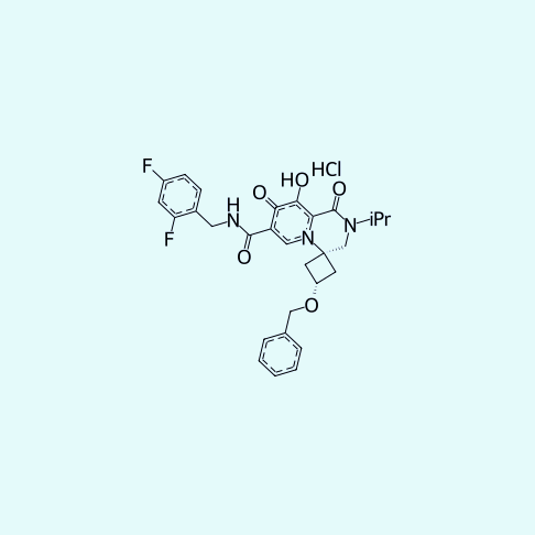 CC(C)N1C[C@]2(C[C@@H](OCc3ccccc3)C2)n2cc(C(=O)NCc3ccc(F)cc3F)c(=O)c(O)c2C1=O.Cl